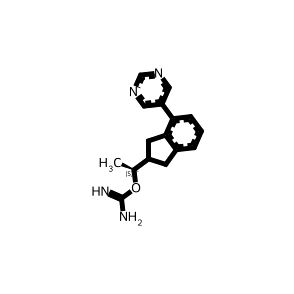 C[C@H](OC(=N)N)C1Cc2cccc(-c3cncnc3)c2C1